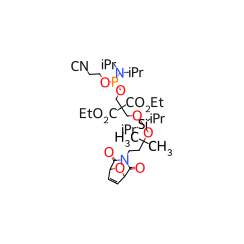 [C-]#[N+]CCOP(OCC(CO[Si](OC(C)(C)CCN1C(=O)C2C=CC(O2)C1=O)(C(C)C)C(C)C)(C(=O)OCC)C(=O)OCC)N(C(C)C)C(C)C